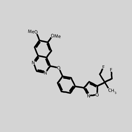 COc1cc2ncnc(Oc3cccc(-c4cc(C(C)(CF)CF)on4)c3)c2cc1OC